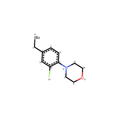 CC(C)(C)Cc1ccc(N2CCOCC2)c(F)c1